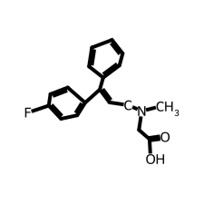 CN(C/C=C(\c1ccccc1)c1ccc(F)cc1)CC(=O)O